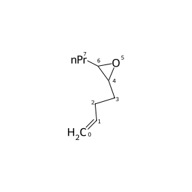 C=CCCC1OC1CCC